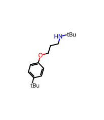 CC(C)(C)NCCCOc1ccc(C(C)(C)C)cc1